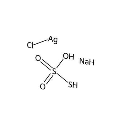 O=S(=O)(O)S.[Cl][Ag].[NaH]